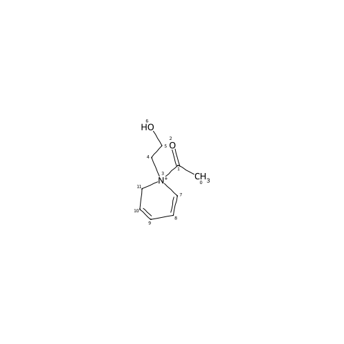 CC(=O)[N+]1(CCO)C=CC=CC1